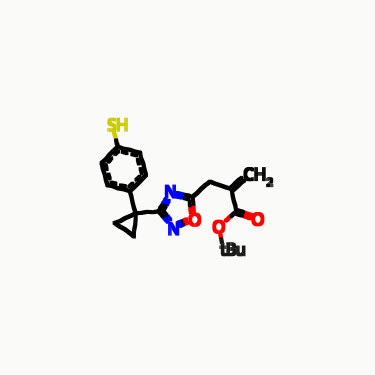 C=C(Cc1nc(C2(c3ccc(S)cc3)CC2)no1)C(=O)OC(C)(C)C